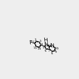 Fc1ccc(-c2cc3cccnc3[nH]2)cc1